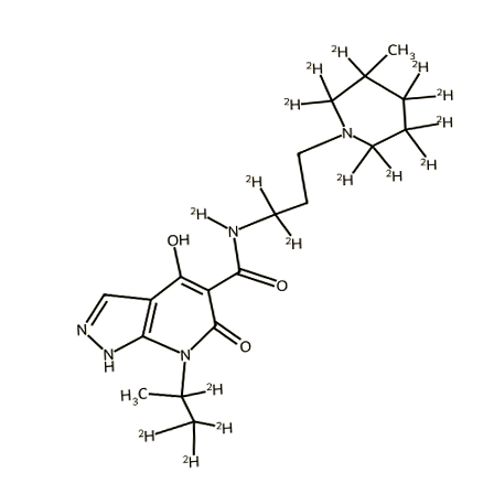 [2H]N(C(=O)c1c(O)c2cn[nH]c2n(C([2H])(C)C([2H])([2H])[2H])c1=O)C([2H])([2H])CCN1C([2H])([2H])C([2H])([2H])C([2H])([2H])C([2H])(C)C1([2H])[2H]